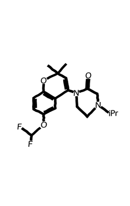 CC(C)N1CCN(C2=CC(C)(C)Oc3ccc(OC(F)F)cc32)C(=O)C1